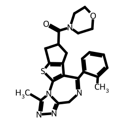 Cc1ccccc1C1=NCc2nnc(C)n2-c2sc3c(c21)CC(C(=O)N1CCOCC1)C3